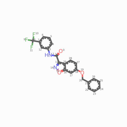 O=C(Nc1cccc(C(F)(F)F)c1)c1noc2cc(OCc3ccccc3)ccc12